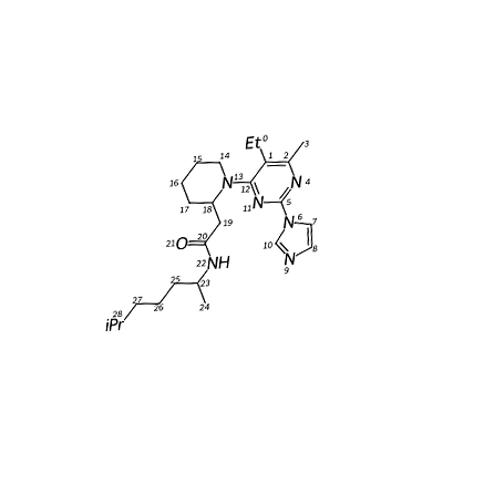 CCc1c(C)nc(-n2ccnc2)nc1N1CCCCC1CC(=O)NC(C)CCCC(C)C